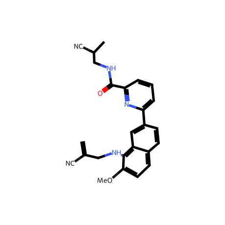 C=C(C#N)CNc1c(OC)ccc2ccc(-c3cccc(C(=O)NCC(C)C#N)n3)cc12